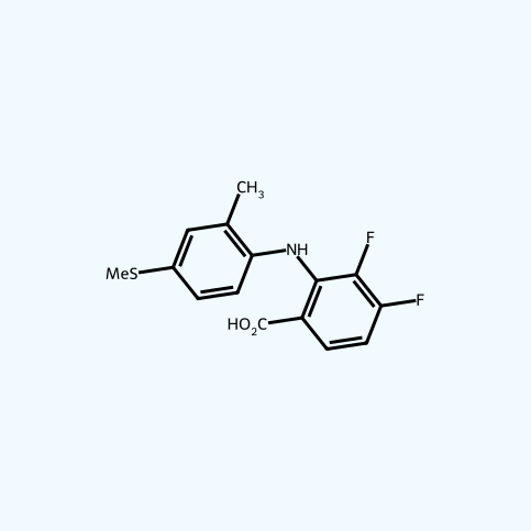 CSc1ccc(Nc2c(C(=O)O)ccc(F)c2F)c(C)c1